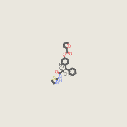 CC(C)(C(=O)Nc1nccs1)[C@H](c1ccccc1)c1ccc(OC(=O)c2ccco2)cc1